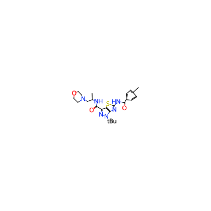 Cc1ccc(C(=O)Nc2nc3c(s2)c(C(=O)NC(C)CN2CCOCC2)nn3C(C)(C)C)cc1